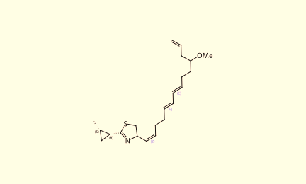 C=CCC(CC/C=C/C=C/CC/C=C\C1CSC([C@@H]2C[C@@H]2C)=N1)OC